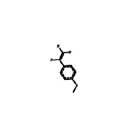 CSc1ccc(C(F)=C(F)F)cc1